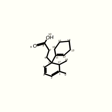 CC1=CC=CC(CCC(=O)O)(C2=CCCCC2)C1C